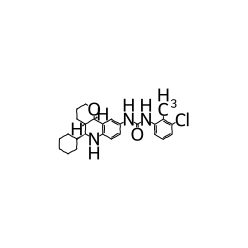 Cc1c(Cl)cccc1NC(=O)Nc1ccc2c(c1)[C@H]1OCCC[C@H]1[C@H](C1CCCCC1)N2